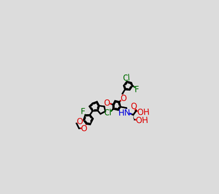 O=C(O)[C@H](CO)NCc1cc(Cl)c(O[C@H]2CCc3c(-c4ccc5c(c4F)OCCO5)cccc32)cc1OCc1cc(F)cc(Cl)c1